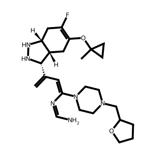 C=C(/C=C(\N=C/N)N1CCN(CC2CCCO2)CC1)[C@@H]1NN[C@@H]2CC(F)=C(OC3(C)CC3)C[C@@H]21